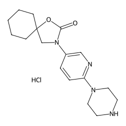 Cl.O=C1OC2(CCCCC2)CN1c1ccc(N2CCNCC2)nc1